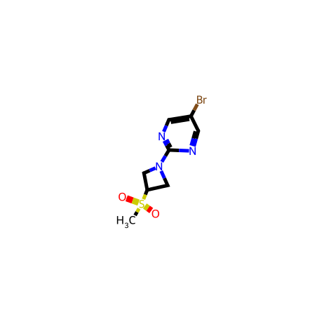 CS(=O)(=O)C1CN(c2ncc(Br)cn2)C1